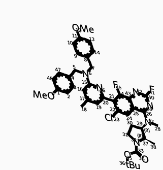 COc1ccc(CN(Cc2ccc(OC)cc2)c2cc(C)cc(-c3c(Cl)cc4c(N(C)[C@@H]5CCN(C(=O)OC(C)(C)C)[C@@H]5C)nc(F)nc4c3F)n2)cc1